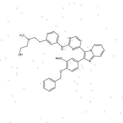 COc1cc(-c2nc3ccccn3c2-c2ccnc(Nc3cccc(CCN(C)CCO)c3)n2)ccc1OCc1ccccc1